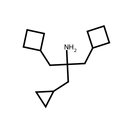 NC(CC1CCC1)(CC1CCC1)CC1CC1